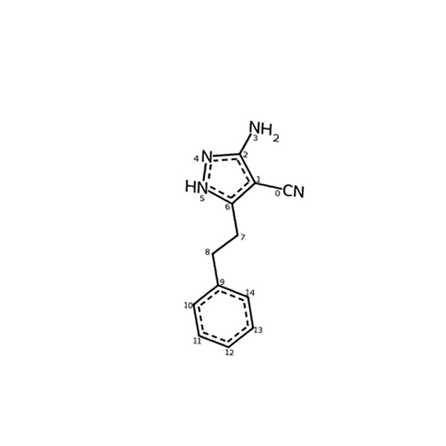 N#Cc1c(N)n[nH]c1CCc1ccccc1